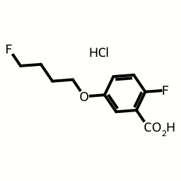 Cl.O=C(O)c1cc(OCCCCF)ccc1F